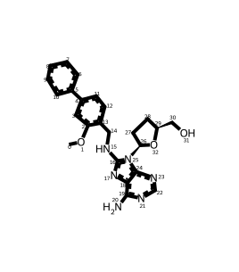 COc1cc(-c2ccccc2)ccc1CNc1nc2c(N)ncnc2n1[C@H]1CC[C@@H](CO)O1